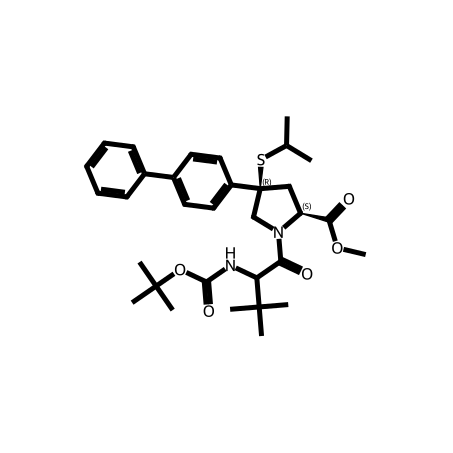 COC(=O)[C@@H]1C[C@@](SC(C)C)(c2ccc(-c3ccccc3)cc2)CN1C(=O)C(NC(=O)OC(C)(C)C)C(C)(C)C